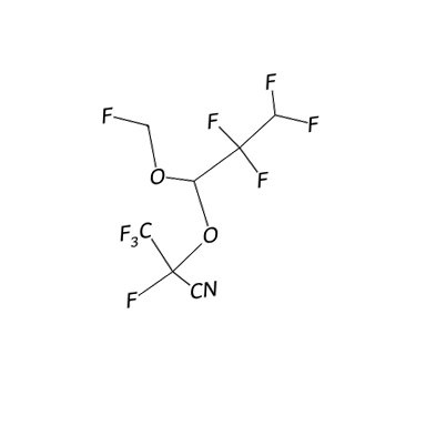 N#CC(F)(OC(OCF)C(F)(F)C(F)F)C(F)(F)F